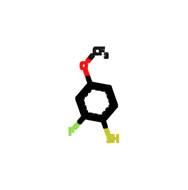 Fc1cc(OC(F)(F)F)ccc1S